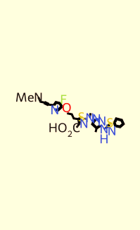 CNCC#Cc1cc(F)c(OCCCc2sc(N(C)c3cc(C)c(Nc4nc5ccccc5s4)nn3)nc2C(=O)O)cn1